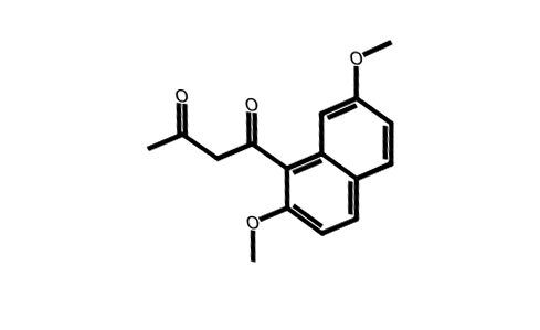 COc1ccc2ccc(OC)c(C(=O)CC(C)=O)c2c1